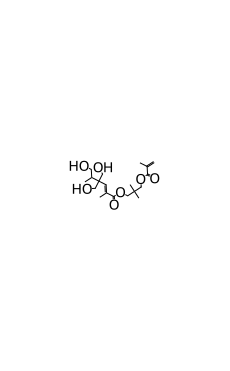 C=C(C)C(=O)OCC(C)(C)COC(=O)C(C)=CC(CO)(CO)C(C)CO